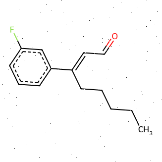 CCCCCC(=CC=O)c1cccc(F)c1